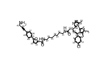 Cc1sc2c(c1C)C(c1ccc(Cl)cc1)=N[C@@H](CC(=O)NCCCCCCCNC(=O)c1ccc(-c3ccc(C#CCN)cc3)o1)c1nnc(C)n1-2